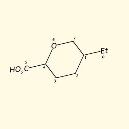 CCC1CCC(C(=O)O)OC1